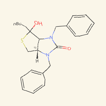 CCCCC1(O)SC[C@@H]2C1N(Cc1ccccc1)C(=O)N2Cc1ccccc1